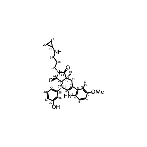 COc1ccc2[nH]c3c(c2c1F)C[C@@]1(C)C(=O)N(CCCNC2CC2)C(=O)N1[C@@H]3c1cccc(O)c1